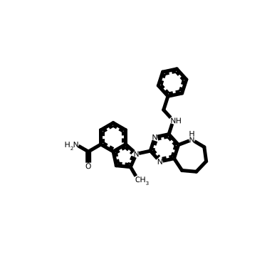 Cc1cc2c(C(N)=O)cccc2n1-c1nc2c(c(NCc3ccccc3)n1)NCCCC2